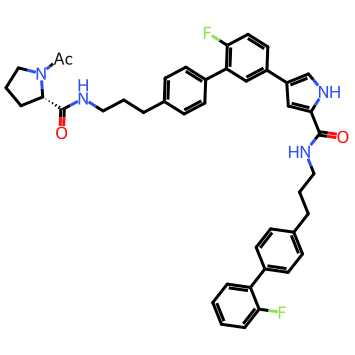 CC(=O)N1CCC[C@H]1C(=O)NCCCc1ccc(-c2cc(-c3c[nH]c(C(=O)NCCCc4ccc(-c5ccccc5F)cc4)c3)ccc2F)cc1